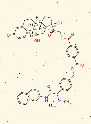 CN(C)C(C(=O)Nc1ccc2ccccc2c1)c1ccc(COC(=O)c2ccc(C(=O)OCC(=O)[C@@]3(O)CC[C@H]4[C@@H]5CCC6=CC(=O)C=C[C@]6(C)[C@H]5[C@@H](O)C[C@@]43C)cc2)cc1